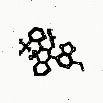 CCc1ccc(C2=C(N=[N+]=[N-])N(c3ccccc3C(F)(F)F)S(=O)(=O)C3C=CC=CC23)c2c1OCO2